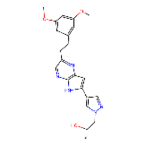 COc1cc(CCc2cnc3[nH]c(-c4cnn(C[C@H](C)O)c4)cc3n2)cc(OC)c1